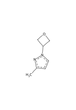 Cc1ccn(C2COC2)n1